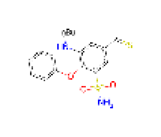 CCCCNc1cc(C=S)cc(S(N)(=O)=O)c1Oc1ccccc1